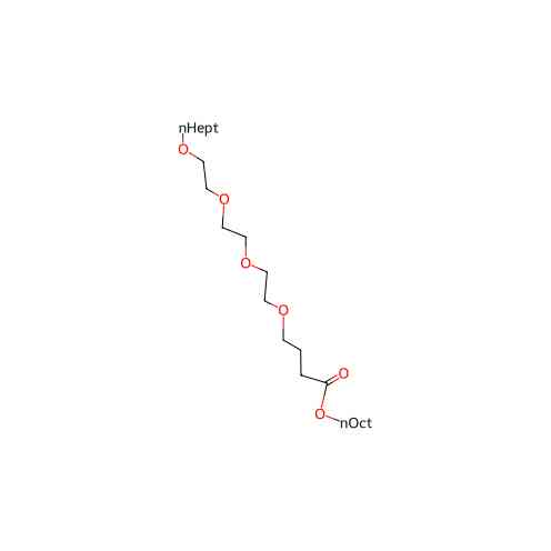 CCCCCCCCOC(=O)CCCOCCOCCOCCOCCCCCCC